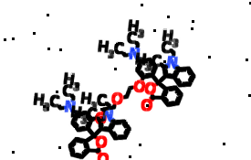 CCN(CC)c1ccc(C2(c3c(C)n(CC)c4ccccc34)OC(=O)c3ccccc32)c(OCCOCCOc2cc(N(CC)CC)ccc2C2(c3c(C)n(CC)c4ccccc34)OC(=O)c3ccccc32)c1